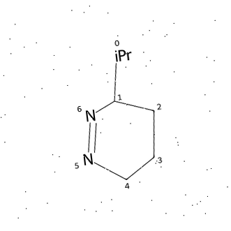 CC(C)C1CCCN=N1